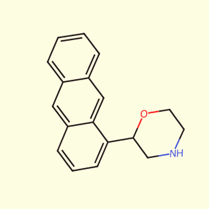 c1ccc2cc3c(C4CNCCO4)cccc3cc2c1